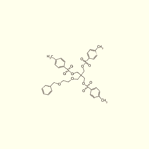 Cc1ccc(S(=O)(=O)OCC(COCCOCc2ccccc2)(COS(=O)(=O)c2ccc(C)cc2)COS(=O)(=O)c2ccc(C)cc2)cc1